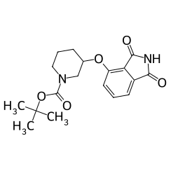 CC(C)(C)OC(=O)N1CCCC(Oc2cccc3c2C(=O)NC3=O)C1